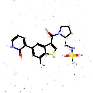 CC(C)(C)c1cc(-c2ccc[nH]c2=O)cc2c(C(=O)N3CCC[C@@H]3CNS(C)(=O)=O)csc12